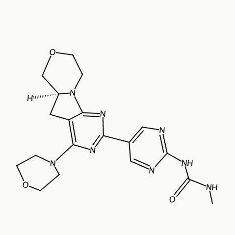 CNC(=O)Nc1ncc(-c2nc(N3CCOCC3)c3c(n2)N2CCOC[C@@H]2C3)cn1